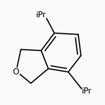 CC(C)c1ccc(C(C)C)c2c1COC2